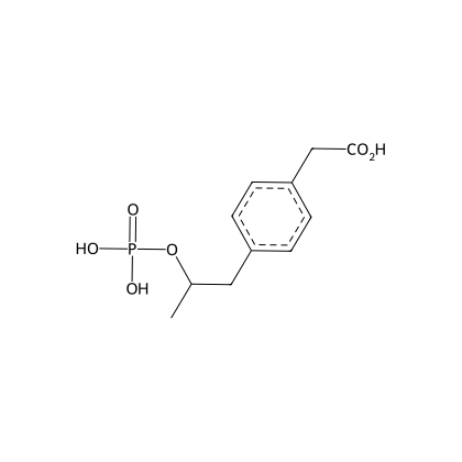 CC(Cc1ccc(CC(=O)O)cc1)OP(=O)(O)O